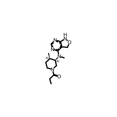 CCC(=O)N1CC[C@@H](C)[C@@H](N(C)c2ncnc3c2CON3)C1